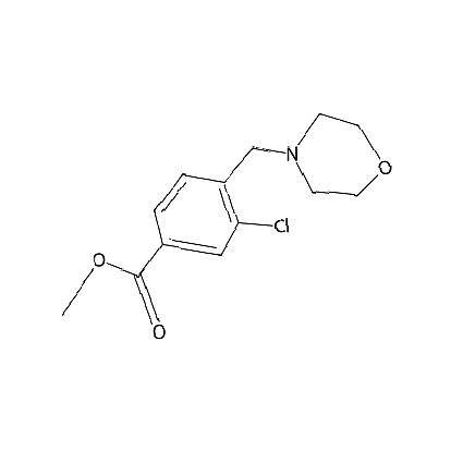 COC(=O)c1ccc(CN2CCOCC2)c(Cl)c1